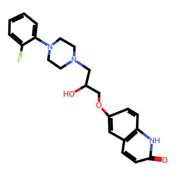 O=c1ccc2cc(OCC(O)CN3CCN(c4ccccc4F)CC3)ccc2[nH]1